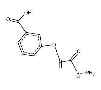 O=C(BP)NOc1cccc(C(=O)O)c1